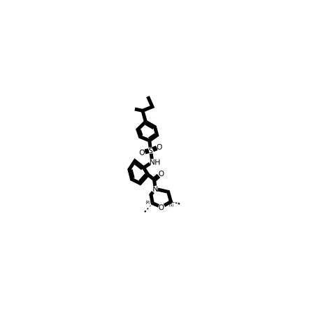 CCC(C)c1ccc(S(=O)(=O)Nc2ccccc2C(=O)N2C[C@@H](C)O[C@@H](C)C2)cc1